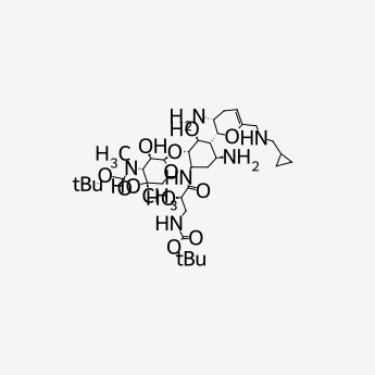 CN(C(=O)OC(C)(C)C)[C@@H]1[C@@H](O)[C@@H](O[C@H]2[C@H](NC(=O)[C@H](O)CNC(=O)OC(C)(C)C)C[C@H](N)C([C@H]3OC(CNCC4CC4)=CC[C@H]3N)[C@@H]2O)OC[C@]1(C)O